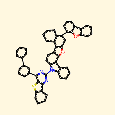 c1ccc(-c2cccc(-c3nc(-n4c5ccccc5c5c6oc7cc(-c8cccc9c8oc8ccccc89)c8ccccc8c7c6ccc54)nc4c3sc3ccccc34)c2)cc1